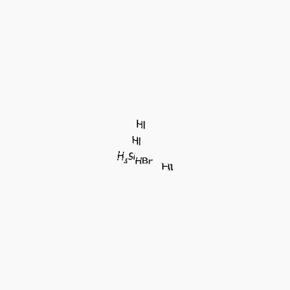 Br.I.I.I.[SiH4]